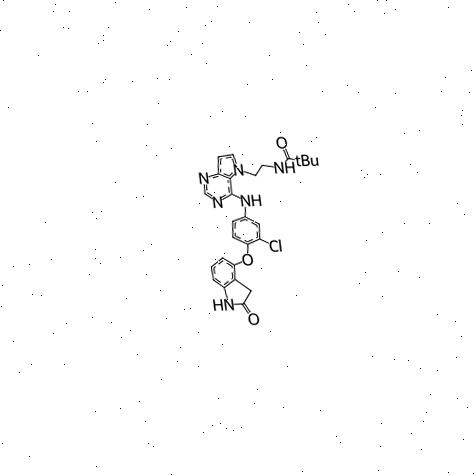 CC(C)(C)C(=O)NCCn1ccc2ncnc(Nc3ccc(Oc4cccc5c4CC(=O)N5)c(Cl)c3)c21